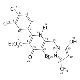 CCOC(=O)c1c(-c2ccc(Cl)c(Cl)c2)n(CC)c(Cn2nc(C(F)(F)F)cc2O)c(Br)c1=O